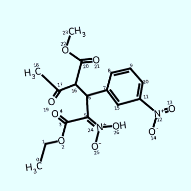 CCOC(=O)C(C(c1cccc([N+](=O)[O-])c1)C(C(C)=O)C(=O)OC)=[N+]([O-])O